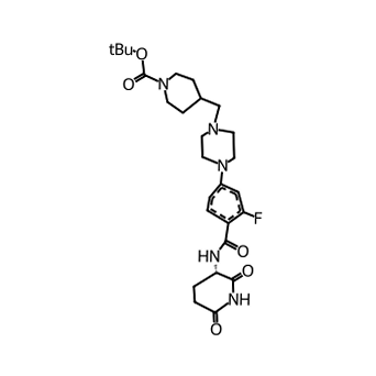 CC(C)(C)OC(=O)N1CCC(CN2CCN(c3ccc(C(=O)N[C@H]4CCC(=O)NC4=O)c(F)c3)CC2)CC1